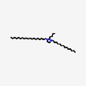 CCCCCCCCCCCCCCCCCCCN1C=CN(CCCCCCCCCCCCCC)C1CCCC